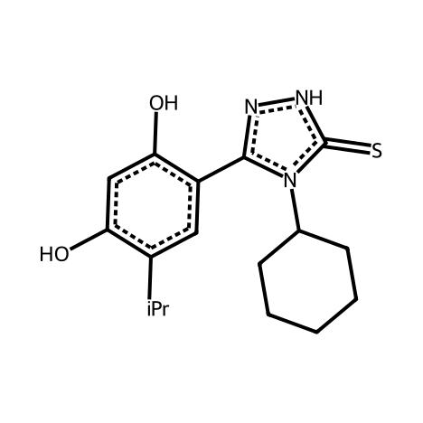 CC(C)c1cc(-c2n[nH]c(=S)n2C2CCCCC2)c(O)cc1O